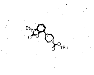 CCn1c(=O)oc2c(N3CCN(C(=O)OC(C)(C)C)CC3)cccc21